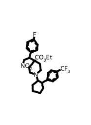 CCOC(=O)C1(C(C[N+](=O)[O-])c2ccc(F)cc2)CCN(C2CCCCC2c2ccc(C(F)(F)F)cc2)CC1